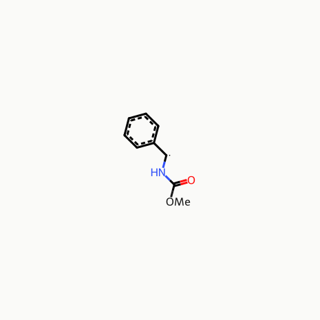 COC(=O)N[CH]c1ccccc1